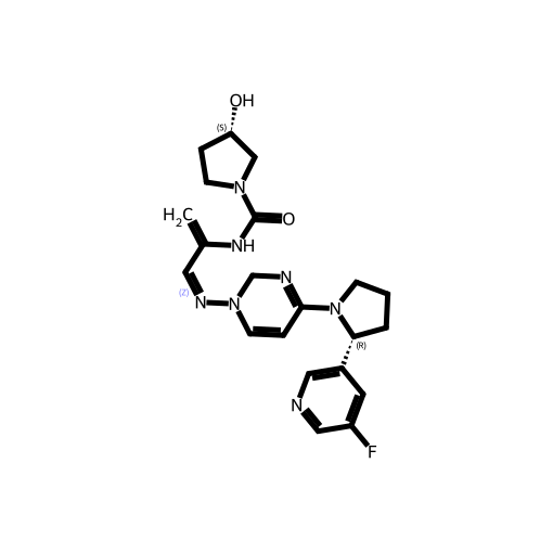 C=C(/C=N\N1C=CC(N2CCC[C@@H]2c2cncc(F)c2)=NC1)NC(=O)N1CC[C@H](O)C1